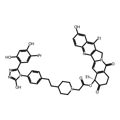 CCc1c2c(nc3ccc(O)cc13)-c1cc3c(c(=O)n1C2)CCC(=O)[C@@]3(CC)OC(=O)CN1CCC(CCc2ccc(-n3c(O)nnc3-c3cc(C(C)C)c(O)cc3O)cc2)CC1